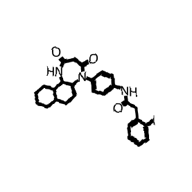 O=C(Cc1ccccc1I)Nc1ccc(N2C(=O)CC(=O)NC3C4CCCCC4CCC32)cc1